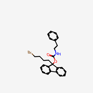 O=C(NCCc1ccccc1)OC1(CCCCBr)c2ccccc2-c2ccccc21